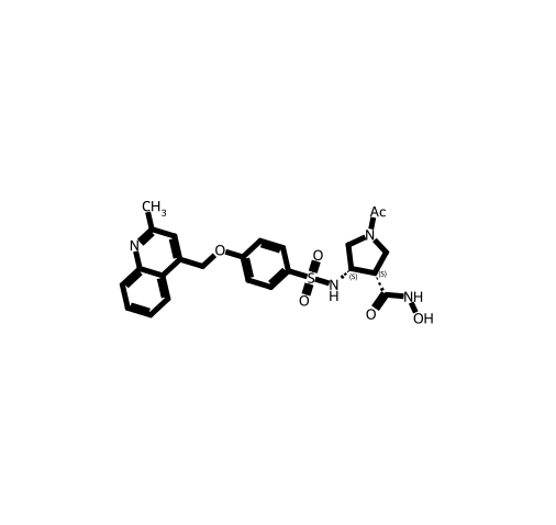 CC(=O)N1C[C@H](C(=O)NO)[C@H](NS(=O)(=O)c2ccc(OCc3cc(C)nc4ccccc34)cc2)C1